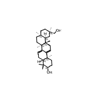 CC1(C)[C@H](O)CC[C@]2(C)C3=CC[C@@]4(C)[C@@H]5C[C@](C)(CO)CC[C@]5(C)CC[C@]4(C)C3=CC[C@@H]12